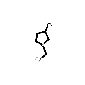 N#CC1CCN(CC(=O)O)C1